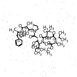 CC[C@H](C)[C@@H]([C@@H](CC(=O)N1CCC[C@H]1[C@H](OC)[C@@H](C)C(=O)N[C@H](C)C[C@]1(O)C=CC=CC1)OC)N(C)C(=O)[C@@H](NC(=O)[C@H](C(C)C)N(C)C(=O)OC)C(C)C